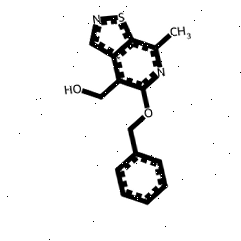 Cc1nc(OCc2ccccc2)c(CO)c2cnsc12